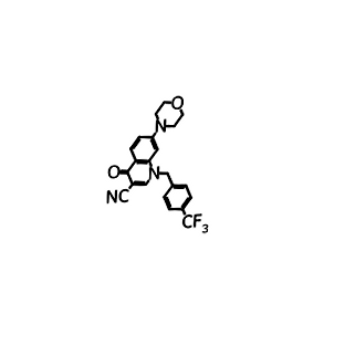 N#Cc1cn(Cc2ccc(C(F)(F)F)cc2)c2cc(N3CCOCC3)ccc2c1=O